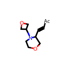 CC(=O)C#CC1COCCN1C1COC1